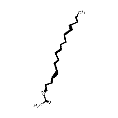 CCCCCCCC/C=C/CC/C=C/CCCOC(C)=O